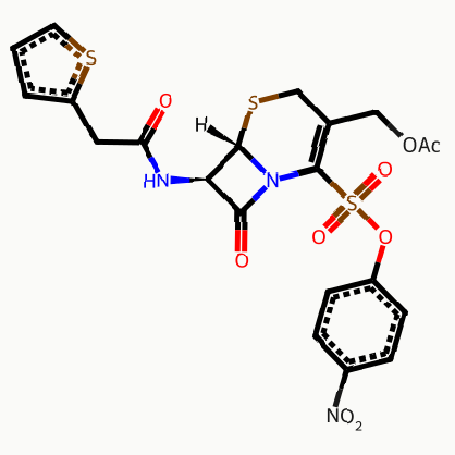 CC(=O)OCC1=C(S(=O)(=O)Oc2ccc([N+](=O)[O-])cc2)N2C(=O)[C@@H](NC(=O)Cc3cccs3)[C@@H]2SC1